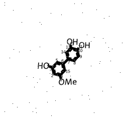 COc1cc(O)cc(-c2ccc(O)c(O)c2)c1